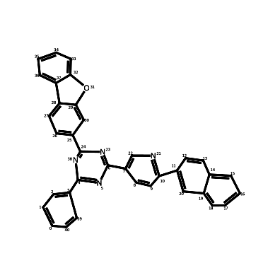 c1ccc(-c2nc(-c3ccc(-c4ccc5ccccc5c4)nc3)nc(-c3ccc4c(c3)oc3ccccc34)n2)cc1